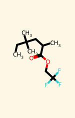 CCC(C)(C)CC(C)C(=O)OCC(F)(F)F